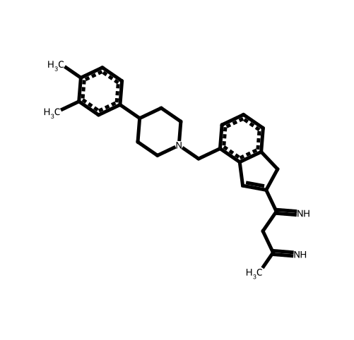 CC(=N)CC(=N)C1=Cc2c(cccc2CN2CCC(c3ccc(C)c(C)c3)CC2)C1